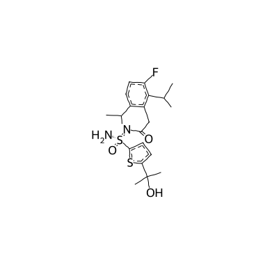 CC(C)c1ccc(F)c(C(C)C)c1CC(=O)N=[S@](N)(=O)c1ccc(C(C)(C)O)s1